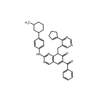 CN1CCCC(c2ccc(Nc3ncc4cc(C(=O)c5ccccc5)c(=O)n(Cc5cncnc5C5=CCCC5)c4n3)cc2)C1